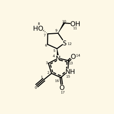 C#Cc1cn([C@H]2C[C@H](O)[C@@H](CO)S2)c(=O)[nH]c1=O